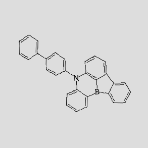 c1ccc(-c2ccc(N3c4ccccc4B4c5ccccc5-c5cccc3c54)cc2)cc1